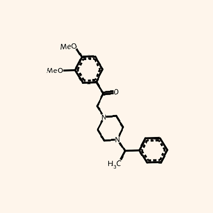 COc1ccc(C(=O)CN2CCN(C(C)c3ccccc3)CC2)cc1OC